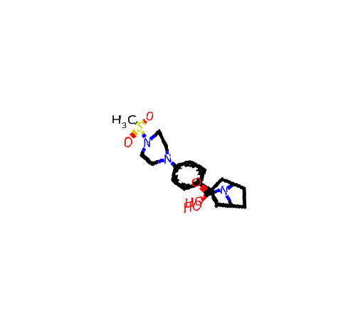 CS(=O)(=O)N1CCN(c2ccc(C3(O)CC4CCC(C3)N4C(=O)O)cc2)CC1